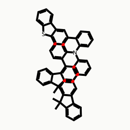 CC1(C)c2ccccc2-c2cc(-c3cccc(N(c4ccccc4-c4ccc5sc6ccccc6c5c4)c4ccccc4-c4cccc5c4-c4ccccc4C5(C)C)c3)ccc21